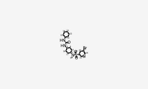 CN(c1ccc(NC(=O)Nc2ccccc2)cc1)S(=O)(=O)c1cncc(Br)c1